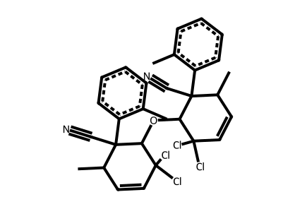 Cc1ccccc1C1(C#N)C(C)C=CC(Cl)(Cl)C1OC1C(Cl)(Cl)C=CC(C)C1(C#N)c1ccccc1C